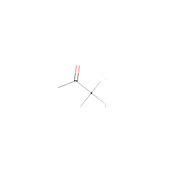 CC(=O)C(Br)(Br)I